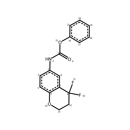 O=C(Nc1ccc2c(c1)C(F)(F)CCO2)Oc1ccccc1